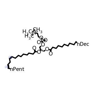 CCCCC/C=C\C/C=C\CCCCCCCC(=O)O[C@H](COC(=O)CCCCCCCCCCCCCCCCCCC)COP(=O)([O-])OCC[N+](C)(C)C